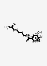 NC(=O)CCCCCNC(=O)C1=C[C@H](O)[C@@H]2O[C@H]2C1